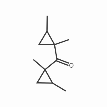 CC1CC1(C)C(=O)C1(C)CC1C